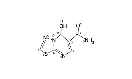 NC(=O)C1=CN=C2SC=NN2C1O